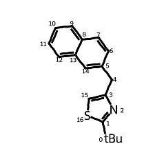 CC(C)(C)c1nc(Cc2ccc3ccccc3c2)cs1